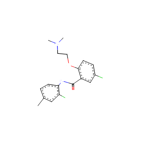 Cc1ccc(NC(=O)c2cc(Cl)ccc2OCCN(C)C)c(Cl)c1